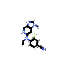 CCN(c1cc2c(cn1)ncn2C)c1ccc(C#N)cc1F